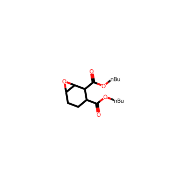 CCCCOC(=O)C1CCC2OC2C1C(=O)OCCCC